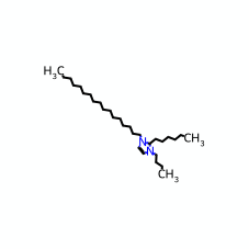 CCCCCCCCCCCCCCCCCN1C=CN(CCCC)C1CCCCCC